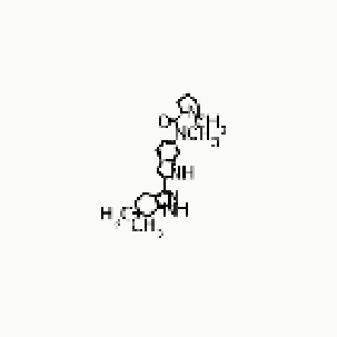 CN(C(=O)[C@H]1CCCN1C)c1ccc2cc(-c3n[nH]c4c3CCC(C)(C)C4)[nH]c2c1